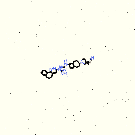 N#C[C@@H]1CC12CCN([C@@H]1CCc3ccc(Nc4nc(N)n(-c5cc6c(nn5)-c5ccccc5CCC6)n4)cc3CC1)C2